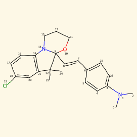 CN(C)c1ccc(/C=C/C23OCCCN2c2ccc(Cl)cc2C3(C)C)cc1